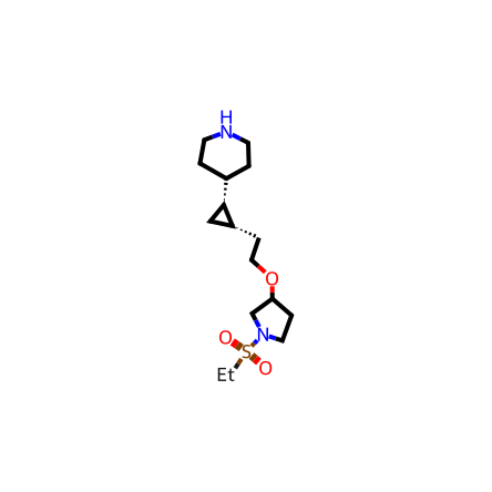 CCS(=O)(=O)N1CCC(OCC[C@@H]2C[C@@H]2C2CCNCC2)C1